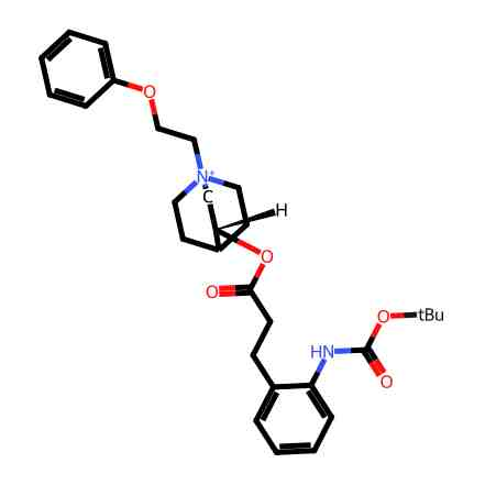 CC(C)(C)OC(=O)Nc1ccccc1CCC(=O)O[C@H]1C[N+]2(CCOc3ccccc3)CCC1CC2